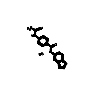 Cl.N=C(N)Nc1ccc(C(=O)Oc2ccc3ocnc3c2)cc1